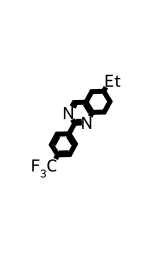 CCC1CCc2nc(-c3ccc(C(F)(F)F)cc3)ncc2C1